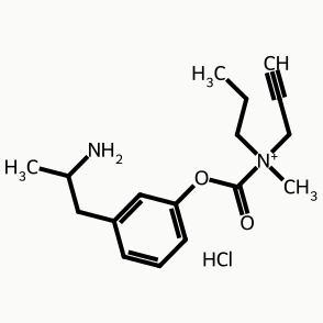 C#CC[N+](C)(CCC)C(=O)Oc1cccc(CC(C)N)c1.Cl